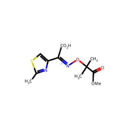 COC(=O)C(C)(C)O/N=C(\C(=O)O)c1csc(C)n1